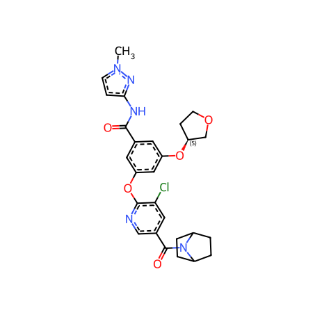 Cn1ccc(NC(=O)c2cc(Oc3ncc(C(=O)N4C5CCC4CC5)cc3Cl)cc(O[C@H]3CCOC3)c2)n1